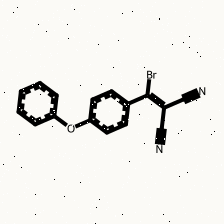 N#CC(C#N)=C(Br)c1ccc(Oc2ccccc2)cc1